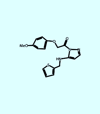 COc1ccc(OCC(=O)n2nccc2NCc2cccs2)cc1